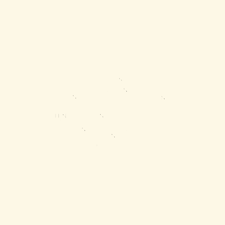 CCc1nc2c(N)ncc(-c3cnn(C4CCNCC4)c3)c2nc1NC1CCC(O)C1